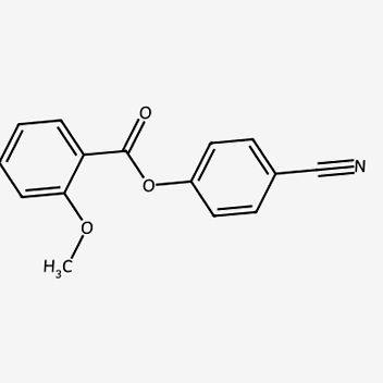 COc1ccccc1C(=O)Oc1ccc(C#N)cc1